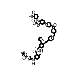 Cc1ccc(NC2CN(C(=O)OC(C)(C)C)C2)cc1C(=O)N[C@H](C)c1ccc(C#CC2CCN(CC3CCN(C(=O)C4CCN(c5ccc6c(c5)n(C)c(=O)n6C5CCC(=O)NC5=O)CC4)CC3)CC2)c(-c2cccs2)c1